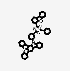 c1ccc(-c2nc(-c3cccc(-n4c5ccccc5c5cc6c7ccccc7n7c8ccccc8c(c54)c67)c3)nc(-c3cccc4c3oc3ccccc34)n2)cc1